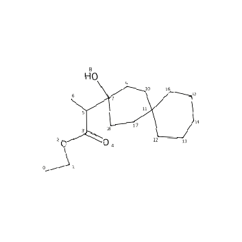 CCOC(=O)C(C)C1(O)CCC2(CCCCC2)CC1